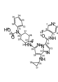 O=C(Nc1ccncc1F)c1cnc2c(NC3CC3)cc(N[C@]3(F)CC[C@@H](N(C(=O)O)c4ccccc4)CC3)nn12